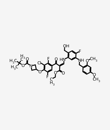 CCOC(=O)/C(=C/Nc1cc(NCc2ccc(OC)cc2OC)c(F)cc1CO)C(=O)c1cc(F)c(OC2CN(C(=O)OC(C)(C)C)C2)c(Cl)c1F